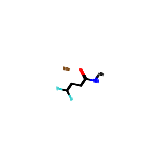 Br.CCCNC(=O)CCC(F)F